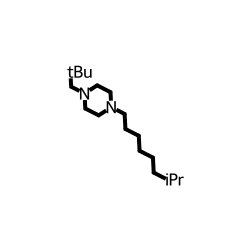 CC(C)CCCCCCN1CCN(CC(C)(C)C)CC1